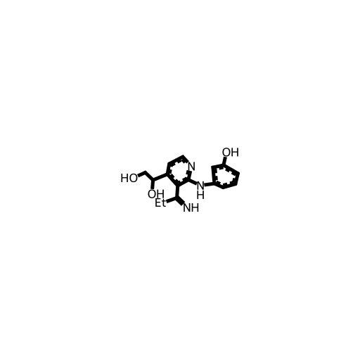 CCC(=N)c1c(C(O)CO)ccnc1Nc1cccc(O)c1